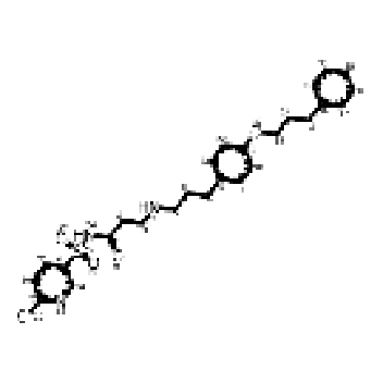 O=C(CCNCCCc1ccc(OCCCc2ccccc2)cc1)NS(=O)(=O)c1ccc(Cl)nc1